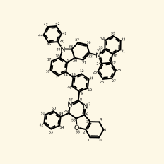 C1=CC2=C(CC1)C1=NC(c3cccc(-c4cccc5c4C4C=C(n6c7ccccc7c7ccccc76)C=CC4N5c4ccccc4)c3)=NC(c3ccccc3)C1O2